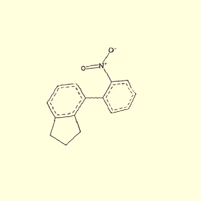 O=[N+]([O-])c1ccccc1-c1cccc2c1CCC2